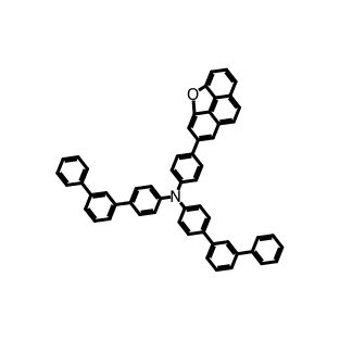 c1ccc(-c2cccc(-c3ccc(N(c4ccc(-c5cccc(-c6ccccc6)c5)cc4)c4ccc(-c5cc6ccc7cccc8oc(c5)c6c78)cc4)cc3)c2)cc1